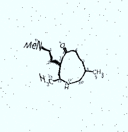 CNCCC1C(=O)CCC(C)CNC1C